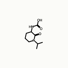 CC(C)N1CCCC(NC(=O)O)C1=O